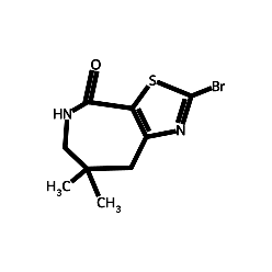 CC1(C)CNC(=O)c2sc(Br)nc2C1